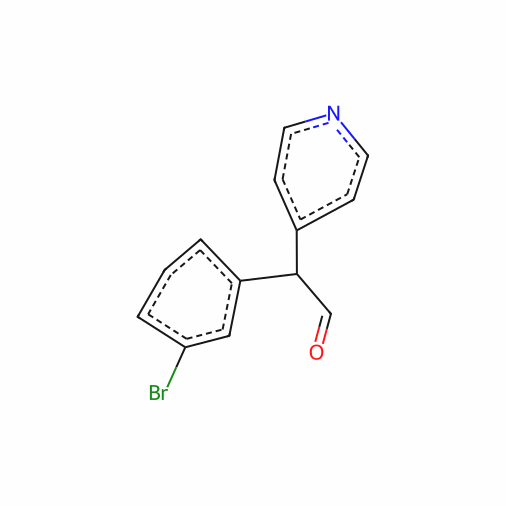 O=CC(c1ccncc1)c1cccc(Br)c1